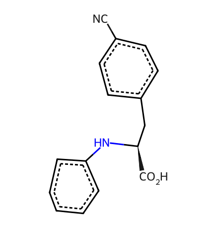 N#Cc1ccc(C[C@H](Nc2ccccc2)C(=O)O)cc1